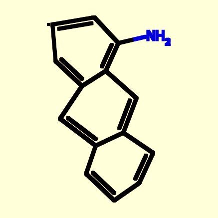 Nc1c[c]cc2cc3ccccc3cc12